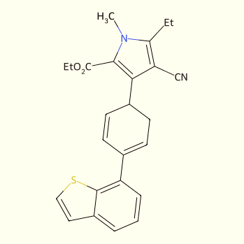 CCOC(=O)c1c(C2C=CC(c3cccc4ccsc34)=CC2)c(C#N)c(CC)n1C